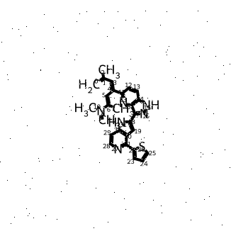 C=C(C)/C=C(\C=C(/C)N(C)C)c1ccc2[nH]nc(-c3cc4c(-c5cccs5)nccc4[nH]3)c2n1